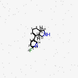 Fc1ccc(C2=CCC[C@H]3CNC[C@@H]23)cn1